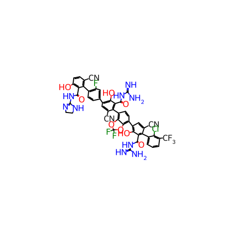 N#Cc1ccc(O)c(C(=O)NC2=NCCN2)c1-c1ccc(-c2cc(C#N)c(-c3ccc(-c4cc(C#N)c(-c5cccc(C(F)(F)F)c5Cl)c(C(=O)NC(=N)N)c4O)c4c3OC(F)(F)O4)c(C(=O)NC(=N)N)c2O)cc1F